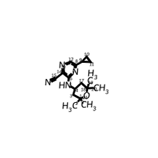 CC1(C)CC(Nc2nc(C3CC3)cnc2C#N)CC(C)(C)O1